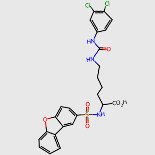 O=C(NCCCCC(NS(=O)(=O)c1ccc2oc3ccccc3c2c1)C(=O)O)Nc1ccc(Cl)c(Cl)c1